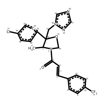 CC1N(C(=O)/C=C/c2ccc(C(F)(F)F)cc2)COC1(Cn1cncn1)c1ccc(Cl)cc1